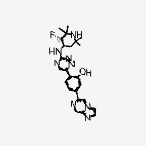 CC1(C)CC(Nc2ncc(-c3ccc(-c4cn5ccnc5cn4)cc3O)nn2)[C@H](F)C(C)(C)N1